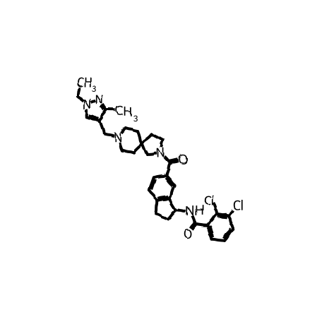 CCn1cc(CN2CCC3(CC2)CCN(C(=O)c2ccc4c(c2)C(NC(=O)c2cccc(Cl)c2Cl)CC4)C3)c(C)n1